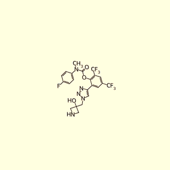 CN(C(=O)Oc1c(-c2cn(CC3(O)CNC3)nn2)cc(C(F)(F)F)cc1C(F)(F)F)c1ccc(F)cc1